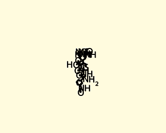 CS(=O)(=O)NCCC(Sc1nnn[nH]1)C1=C(C(=O)O)N2C(=O)[C@@H](NC(=O)C(N)c3cccc(NC=O)c3)[C@@H]2SC1